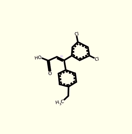 CCc1ccc(/C(=C\C(=O)O)c2cc(Cl)cc(Cl)c2)cc1